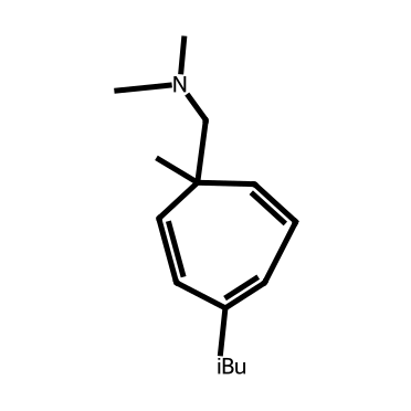 CCC(C)C1=CC=CC(C)(CN(C)C)C=C1